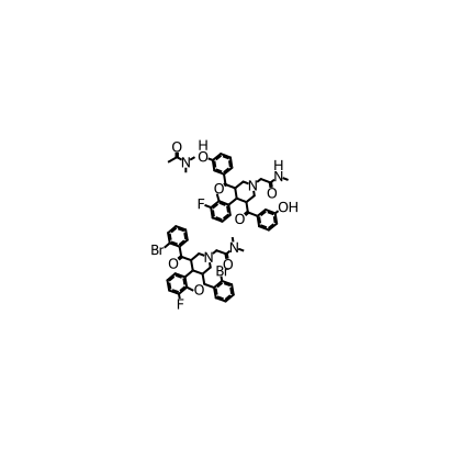 CC(=O)N(C)C.CNC(=O)CN1CC(C(=O)c2cccc(O)c2)C(c2cccc(F)c2C)C(C(=O)c2cccc(O)c2)C1.Cc1c(F)cccc1C1C(C(=O)c2ccccc2Br)CN(CC(=O)N(C)C)CC1C(=O)c1ccccc1Br